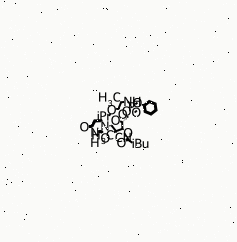 CCC(C)C(=O)O[C@@H]1[C@@H](COP(=O)(N[C@@H](C)C(=O)OC(C)C)Oc2ccccc2)O[C@@H](n2ccc(=O)[nH]c2=O)[C@]1(C)C#N